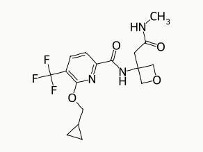 CNC(=O)CC1(NC(=O)c2ccc(C(F)(F)F)c(OCC3CC3)n2)COC1